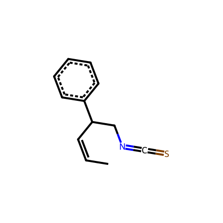 C/C=C\C(CN=C=S)c1ccccc1